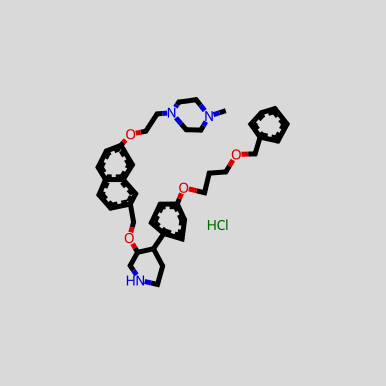 CN1CCN(CCOc2ccc3ccc(COC4CNCCC4c4ccc(OCCCOCc5ccccc5)cc4)cc3c2)CC1.Cl